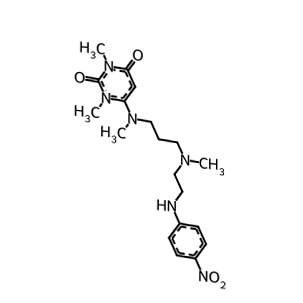 CN(CCCN(C)c1cc(=O)n(C)c(=O)n1C)CCNc1ccc([N+](=O)[O-])cc1